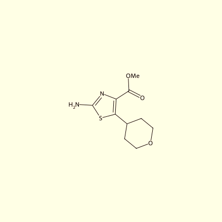 COC(=O)c1nc(N)sc1C1CCOCC1